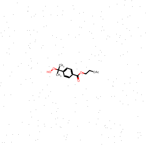 CC(=O)OCCOC(=O)c1ccc(C(C)(C)OO)cc1